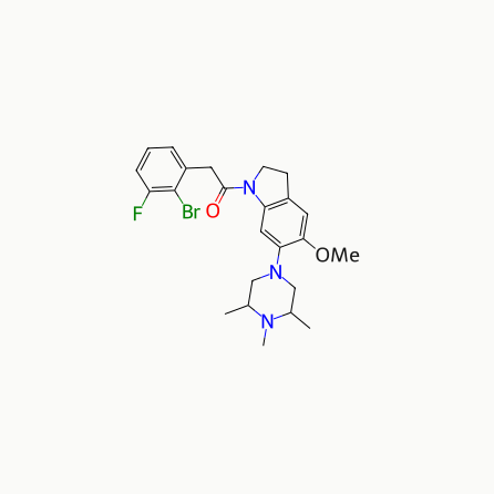 COc1cc2c(cc1N1CC(C)N(C)C(C)C1)N(C(=O)Cc1cccc(F)c1Br)CC2